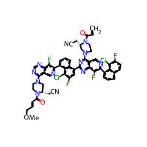 C=CC(=O)N1CCN(c2nc(-c3cc(F)c(Cl)c4c(-c5ncc6c(N7CCN(C(=O)/C=C/COC)[C@@H](CC#N)C7)ncnc6c5F)cccc34)nc3c(F)c(-c4cccc5ccc(F)c(Cl)c45)ncc23)C[C@@H]1CC#N